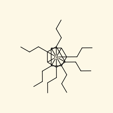 CCC[C]12[CH]3[CH]4[C]5(CCC)[C]1(CCC)[Fe]34251678[CH]2[C]1(CCC)[C]6(CCC)[C]7(CCC)[C]28CCC